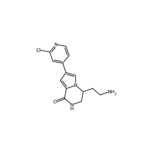 NCCC1CNC(=O)c2cc(-c3ccnc(Cl)c3)cn21